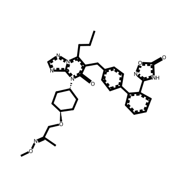 CCCc1c(Cc2ccc(-c3ccccc3-c3noc(=O)[nH]3)cc2)c(=O)n([C@H]2CC[C@H](OC/C(C)=N/OC)CC2)c2ncnn12